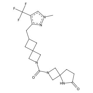 Cn1cc(C(F)(F)F)c(CC2CC3(C2)CN(C(=O)N2CC4(CCC(=O)N4)C2)C3)n1